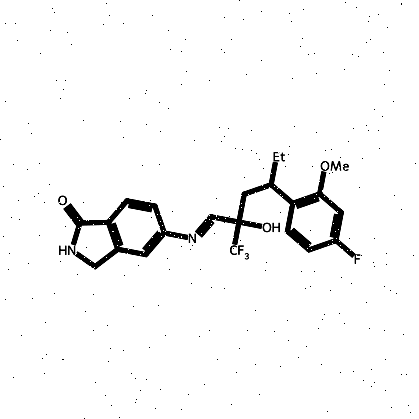 CCC(CC(O)(/C=N/c1ccc2c(c1)CNC2=O)C(F)(F)F)c1ccc(F)cc1OC